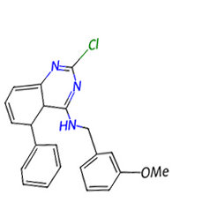 COc1cccc(CNC2=NC(Cl)=NC3=CC=CC(c4ccccc4)C32)c1